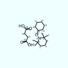 CC1(C)CCCC(C)(C)N1OC1CCCCC1.O=C(O)CCC(=O)O